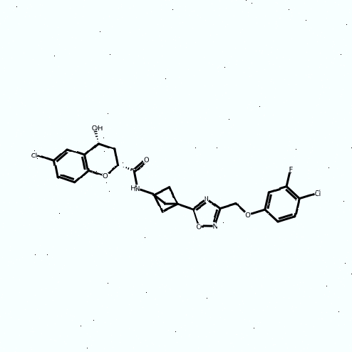 O=C(NC12CC(c3nc(COc4ccc(Cl)c(F)c4)no3)(C1)C2)[C@H]1C[C@@H](O)c2cc(Cl)ccc2O1